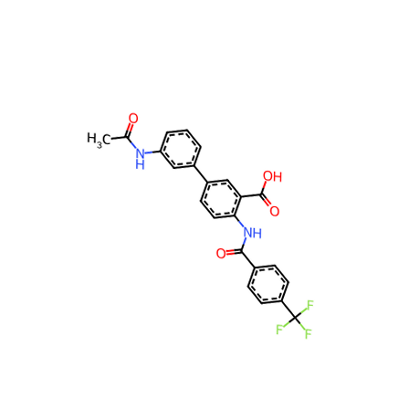 CC(=O)Nc1cccc(-c2ccc(NC(=O)c3ccc(C(F)(F)F)cc3)c(C(=O)O)c2)c1